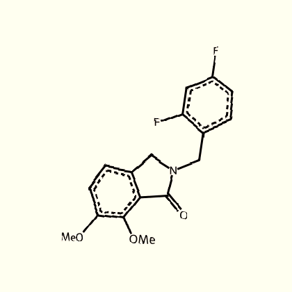 COc1ccc2c(c1OC)C(=O)N(Cc1ccc(F)cc1F)C2